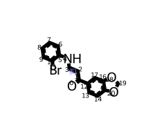 O=C(/C=C/Nc1ccccc1Br)c1ccc2c(c1)OCO2